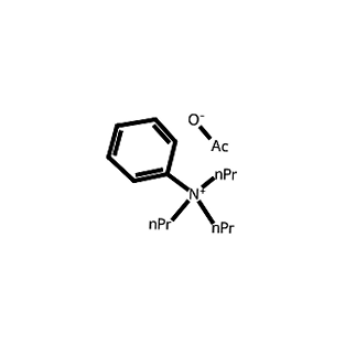 CC(=O)[O-].CCC[N+](CCC)(CCC)c1ccccc1